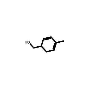 CC1=CCC(CO)C=C1